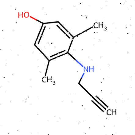 C#CCNc1c(C)cc(O)cc1C